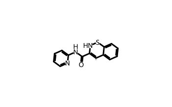 O=C(Nc1ccccn1)C1=[C]c2ccccc2SN1